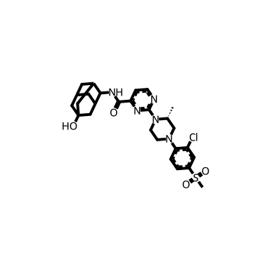 C[C@@H]1CN(c2ccc(S(C)(=O)=O)cc2Cl)CCN1c1nccc(C(=O)NC2C3CC4CC2CC(O)(C4)C3)n1